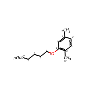 CCCCCCCCCCCCOc1cc(C)ccc1C